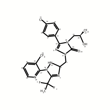 CC(F)(F)C1=NC(Cn2nc(-c3ccc(Cl)cc3)n(C[C@H](O)C(F)(F)F)c2=O)NN1c1ncccc1C(F)(F)F